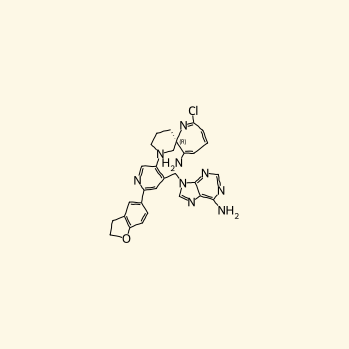 NC1=CC=CC(Cl)=N[C@@]12CCCN(c1cnc(-c3ccc4c(c3)CCO4)cc1Cn1cnc3c(N)ncnc31)C2